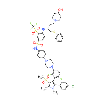 Cc1c(S(C)(=O)=O)c(-c2c(F)ccc(N3CCN(c4ccc(NS(=O)(=O)c5ccc(N[C@H](CCN6CCC(O)CC6)CSc6ccccc6)c(S(=O)(=O)C(F)(F)F)c5)cc4)CC3)c2F)c(-c2ccc(Cl)cc2)n1C